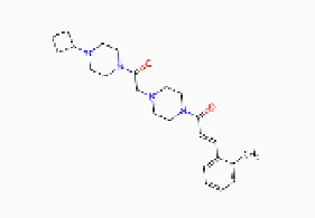 Cc1ccccc1C=CC(=O)N1CCN(CC(=O)N2CCN(C3CCC3)CC2)CC1